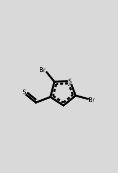 S=Cc1cc(Br)sc1Br